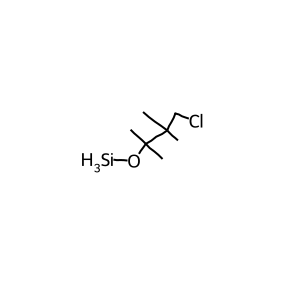 CC(C)(CCl)C(C)(C)O[SiH3]